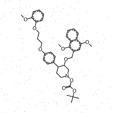 COc1ccccc1OCCCOc1ccc(C2CCN(OC(=O)OC(C)(C)C)CC2OCc2cc(OC)c3ccccc3c2OC)cc1